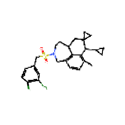 Cc1ccc2c3c1C(C1CC1)C1(CC1)CC3CCN(S(=O)(=O)Cc1ccc(Cl)c(Cl)c1)C2